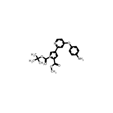 COC(=O)c1cc(-c2cc(Oc3ccc(N)cc3)ccn2)cn1C(=O)OC(C)(C)C